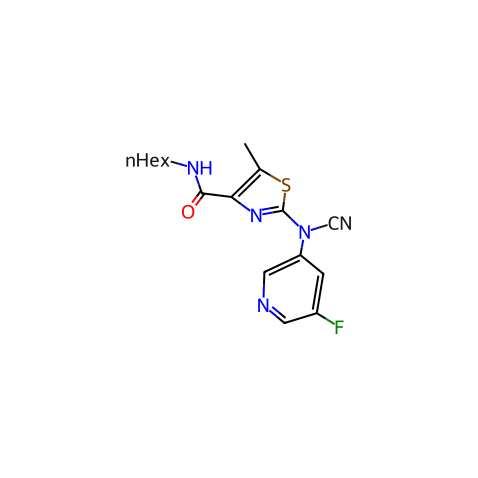 CCCCCCNC(=O)c1nc(N(C#N)c2cncc(F)c2)sc1C